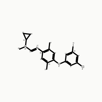 Cc1cc(Oc2cc(Cl)cc(I)c2)c(C)cc1/N=C/N(C)C1CC1